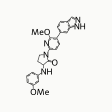 COc1cccc(NC2CCN(c3ccc(-c4ccc5cn[nH]c5c4)c(OC)n3)C2=O)c1